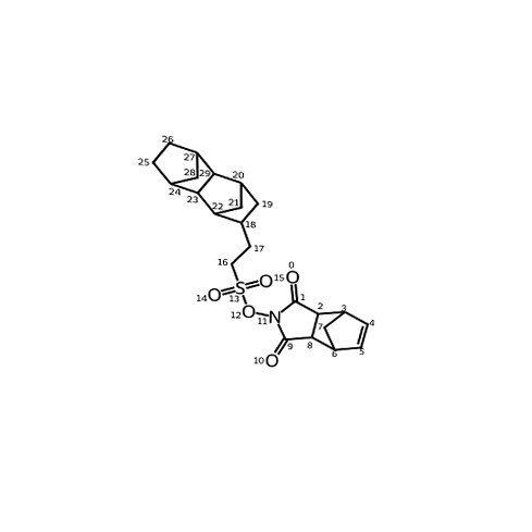 O=C1C2C3C=CC(C3)C2C(=O)N1OS(=O)(=O)CCC1CC2CC1C1C3CCC(C3)C21